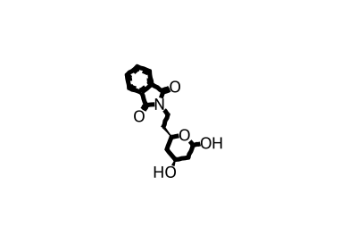 O=C1c2ccccc2C(=O)N1CC[C@@H]1C[C@H](O)CC(O)O1